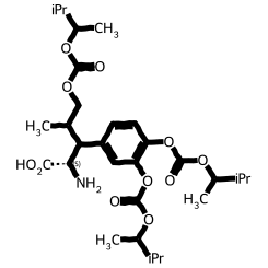 CC(C)C(C)OC(=O)OCC(C)C(c1ccc(OC(=O)OC(C)C(C)C)c(OC(=O)OC(C)C(C)C)c1)[C@H](N)C(=O)O